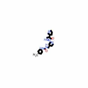 Cc1ccc(NC(=O)NCc2ccnc(-n3[nH]cc(-c4cccnc4)c3=O)c2)cc1